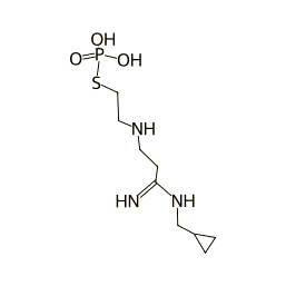 N=C(CCNCCSP(=O)(O)O)NCC1CC1